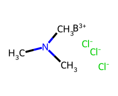 CN(C)C.[B+3].[Cl-].[Cl-].[Cl-]